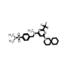 CN(Cc1ccc(S(=O)(=O)N(C)C)cc1)c1cc(N2CCCC3(CCCCC3)C2)nc(C(F)(F)F)n1